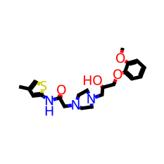 COc1ccccc1OCC(O)CN1CCN(CC(=O)Nc2cc(C)cs2)CC1